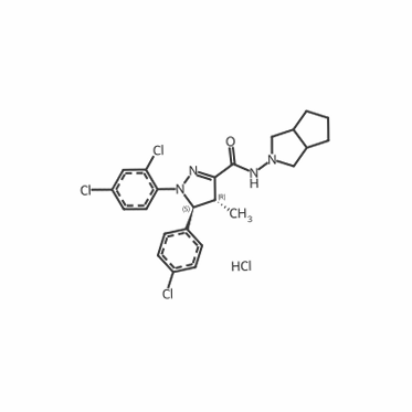 C[C@H]1C(C(=O)NN2CC3CCCC3C2)=NN(c2ccc(Cl)cc2Cl)[C@@H]1c1ccc(Cl)cc1.Cl